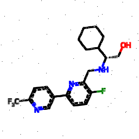 OC[C@H](NCc1nc(-c2ccc(C(F)(F)F)nc2)ccc1F)C1CCCCC1